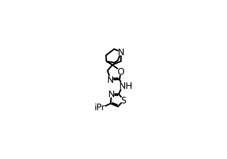 CC(C)c1csc(NC2=NCC3(CN4CCC3CC4)O2)n1